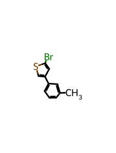 Cc1cccc(-c2csc(Br)c2)c1